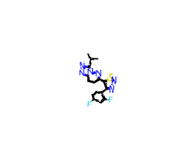 CC(C)c1nnc2ccc(-c3snnc3-c3ccc(F)cc3F)nn12